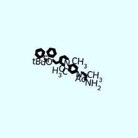 CC(=O)N(C[C@@H](C)CN)c1cc(C)c(-n2cccc(CCO[Si](c3ccccc3)(c3ccccc3)C(C)(C)C)c2=O)c(C)c1